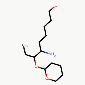 NC(CCCCCO)C(CC(F)(F)F)OC1CCCCO1